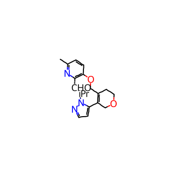 Cc1ccc(OCC2=C(c3ccnn3C(C)C)COCC2)c(C=O)n1